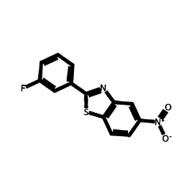 O=[N+]([O-])c1ccc2sc(-c3cccc(F)c3)nc2c1